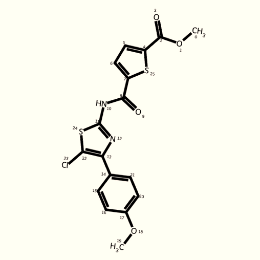 COC(=O)c1ccc(C(=O)Nc2nc(-c3ccc(OC)cc3)c(Cl)s2)s1